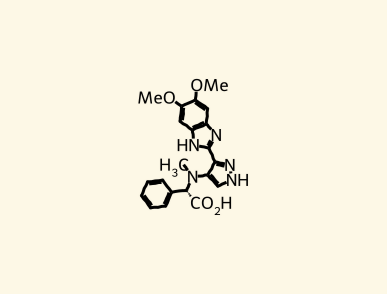 COc1cc2nc(-c3n[nH]cc3N(C)[C@H](C(=O)O)c3ccccc3)[nH]c2cc1OC